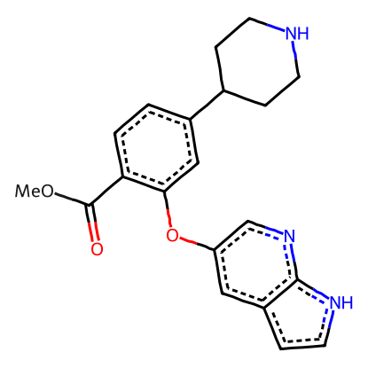 COC(=O)c1ccc(C2CCNCC2)cc1Oc1cnc2[nH]ccc2c1